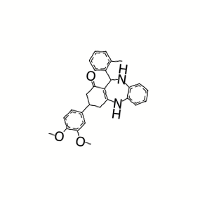 COc1ccc(C2CC(=O)C3=C(C2)Nc2ccccc2NC3c2ccccc2C)cc1OC